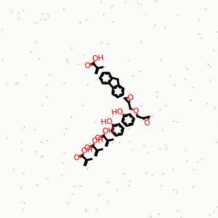 C(OCC1CO1)C1CO1.C=C(C)C(=O)O.C=C(C)C(=O)O.C=C(C)C(=O)O.C=C(C)C(=O)O.Oc1ccccc1.Oc1ccccc1.c1ccc2c(c1)Cc1ccccc1-2